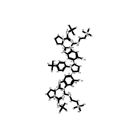 CC(C)(C)OC(=O)N1CCC[C@@H]1c1nc2cc([C@H]3CC[C@H](c4cc5nc([C@@H]6CCCN6C(=O)OC(C)(C)C)n(COCC[Si](C)(C)C)c5cc4F)N3c3ccc(C(C)(C)C)cc3)c(F)cc2n1COCC[Si](C)(C)C